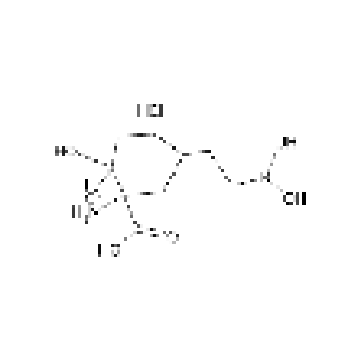 CC1(O)CCC(CCB(O)O)CC1(N)C(=O)O.Cl